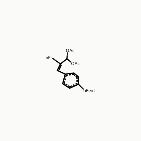 CCCCCc1ccc(C=C(CCC)C(OC(C)=O)OC(C)=O)cc1